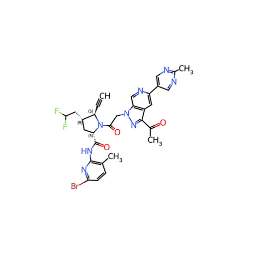 C#C[C@@H]1[C@@H](CC(F)F)C[C@@H](C(=O)Nc2nc(Br)ccc2C)N1C(=O)Cn1nc(C(C)=O)c2cc(-c3cnc(C)nc3)ncc21